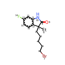 CCC1(CCCCCBr)C(=O)Nc2cc(F)ccc21